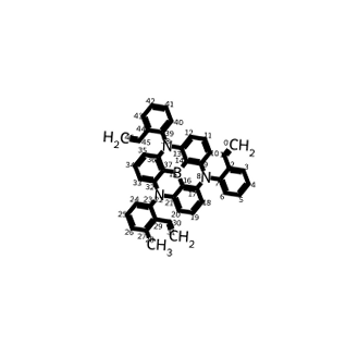 C=Cc1ccccc1N1c2cccc3c2B2c4c1cccc4N(c1cccc(C)c1C=C)c1cccc(c12)N3c1ccccc1C=C